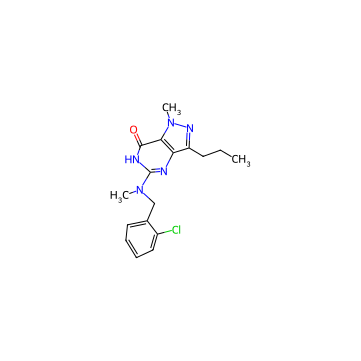 CCCc1nn(C)c2c(=O)[nH]c(N(C)Cc3ccccc3Cl)nc12